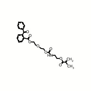 C=C(C)C(=O)OCCNC(=O)OCCOCCOC(=O)c1ccccc1C(=O)c1ccccc1